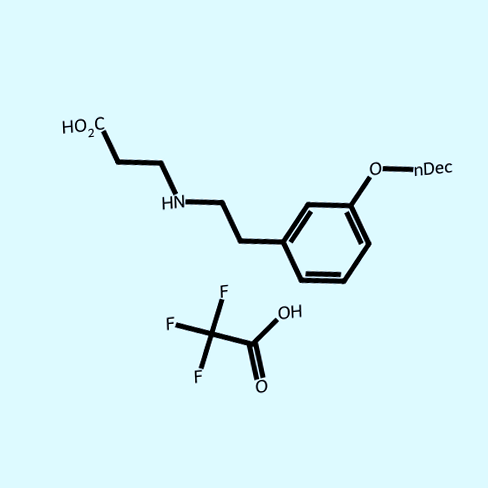 CCCCCCCCCCOc1cccc(CCNCCC(=O)O)c1.O=C(O)C(F)(F)F